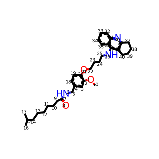 COc1cc(CNC(=O)CCCCCCC(C)C)ccc1OCCCCNc1c2c(nc3ccccc13)CCCC2